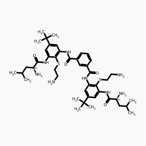 CC(C)C[C@H](N)C(=O)Nc1cc(C(C)(C)C)cc(NC(=O)c2cccc(C(=O)Nc3cc(C(C)(C)C)cc(NC(=O)[C@@H](N)CC(C)C)c3SCCN)c2)c1SCCN